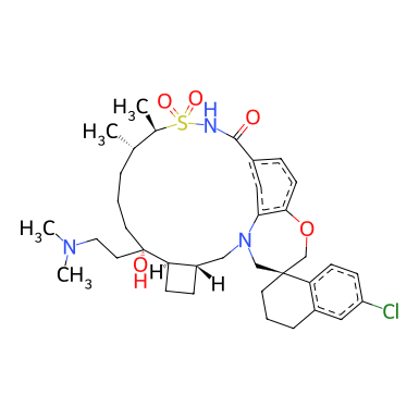 C[C@@H]1[C@@H](C)CCC[C@](O)(CCN(C)C)[C@@H]2CC[C@H]2CN2C[C@@]3(CCCc4cc(Cl)ccc43)COc3ccc(cc32)C(=O)NS1(=O)=O